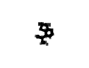 NC(=O)c1cccc2c1CNN2